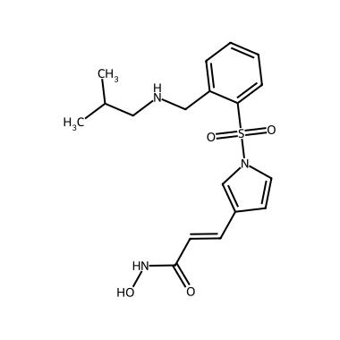 CC(C)CNCc1ccccc1S(=O)(=O)n1ccc(C=CC(=O)NO)c1